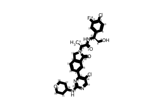 C[C@H](C(=O)N[C@H](CO)c1ccc(Cl)c(F)c1)N1Cc2ccc(-c3nc(NC4CCOCC4)ncc3Cl)cc2C1=O